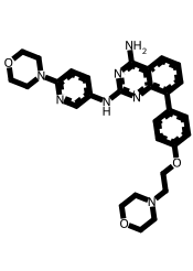 Nc1nc(Nc2ccc(N3CCOCC3)nc2)nc2c(-c3ccc(OCCN4CCOCC4)cc3)cccc12